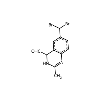 CC1=Nc2ccc(C(Br)Br)cc2C(C=O)N1